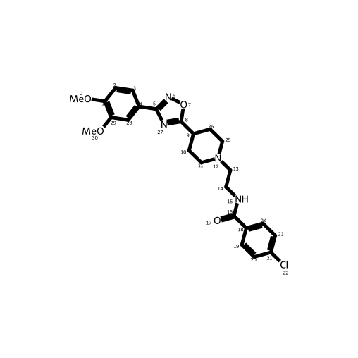 COc1ccc(-c2noc(C3CCN(CCNC(=O)c4ccc(Cl)cc4)CC3)n2)cc1OC